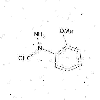 COc1ccccc1N(N)C=O